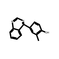 Cc1cc(-c2ncnc3ccccc23)ccc1O